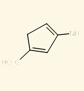 NC1=CCC(C(=O)O)=C1